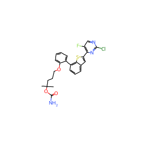 CC(C)(CCCOc1ccccc1-c1cccc2cc(-c3nc(Cl)ncc3F)sc12)OC(N)=O